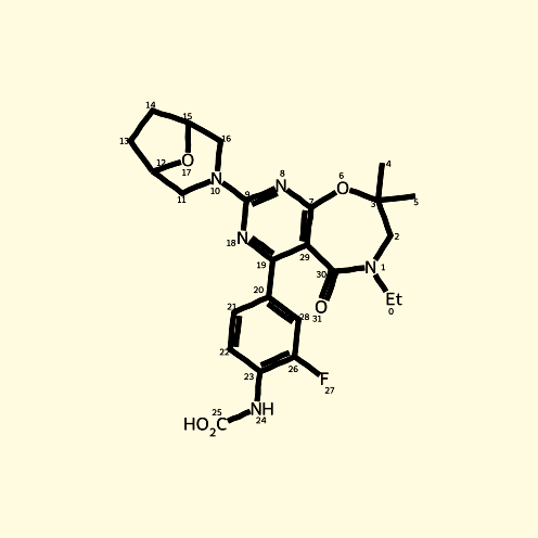 CCN1CC(C)(C)Oc2nc(N3CC4CCC(C3)O4)nc(-c3ccc(NC(=O)O)c(F)c3)c2C1=O